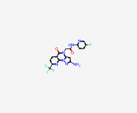 Nc1cc2n(CC(=O)Nc3ccc(F)cn3)c(=O)c3ccc(C(F)(F)F)nc3n2n1